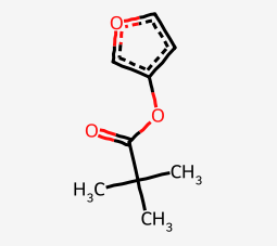 CC(C)(C)C(=O)Oc1ccoc1